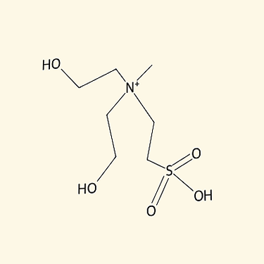 C[N+](CCO)(CCO)CCS(=O)(=O)O